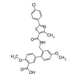 COc1ccc(-c2ccc(OC)c(C(=O)O)c2)c(CNC(=O)c2sc(-c3ccc(Cl)cc3)nc2C)c1